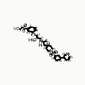 O=S(=O)(CCO)c1cccc(OCC(O)CN[C@H]2COC3(CCN(S(=O)(=O)c4cccc(-c5cccnc5)c4)CC3)C2)c1